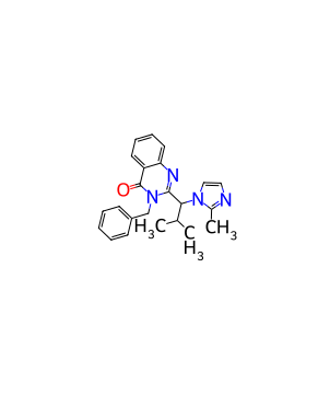 Cc1nccn1C(c1nc2ccccc2c(=O)n1Cc1ccccc1)C(C)C